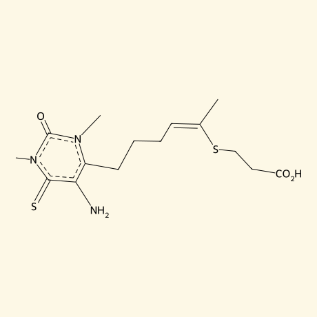 C/C(=C/CCCc1c(N)c(=S)n(C)c(=O)n1C)SCCC(=O)O